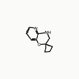 c1cnc2c(c1)OC1(CCC1)CN2